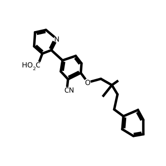 CC(C)(CCc1ccccc1)COc1ccc(-c2ncccc2C(=O)O)cc1C#N